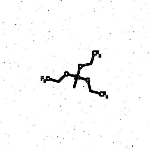 [CH3][Sn]([O]CC(F)(F)F)([O]CC(F)(F)F)[O]CC(F)(F)F